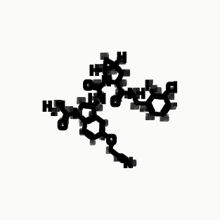 N#CCOc1ccc2c(c1)c(NC(=O)N1[C@@H]3C[C@@H]3C[C@H]1C(=O)NCc1cccc(Cl)c1F)cn2C(N)=O